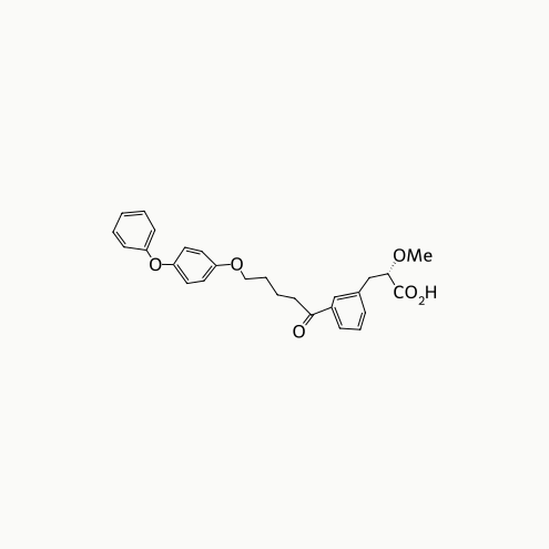 CO[C@@H](Cc1cccc(C(=O)CCCCOc2ccc(Oc3ccccc3)cc2)c1)C(=O)O